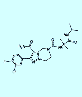 CC(C)NC(=O)C(C)(C)NC(=O)N1CCn2nc(-c3ccc(F)c(Cl)c3)c(C(N)=O)c2C1